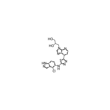 OCC(O)Cn1cnc2c(-c3nnc(Nc4ccc5[nH]ncc5c4Cl)s3)ccnc21